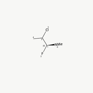 CN[C@@H](F)C(C)Cl